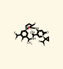 CC(NC(=O)c1cn(C2(C(F)F)CC2)c(=O)cc1N[C@@H]1CN2CCC1(F)CC2)c1cccc(C(F)F)c1F